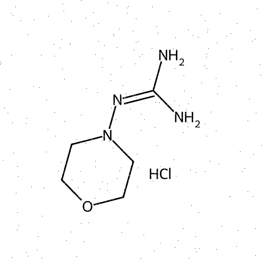 Cl.NC(N)=NN1CCOCC1